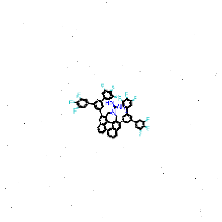 N=C(N)N1Cc2c(-c3cc(-c4cc(F)c(F)c(F)c4)cc(-c4cc(F)c(F)c(F)c4)c3)cc3ccccc3c2-c2c(c(-c3cc(-c4cc(F)c(F)c(F)c4)cc(-c4cc(F)c(F)c(F)c4)c3)cc3ccccc23)C1